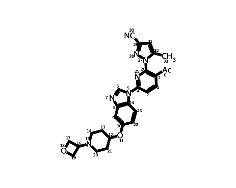 CC(=O)c1ccc(-n2cnc3cc(OC4CCN(C5COC5)CC4)ccc32)nc1-n1nc(C#N)cc1C